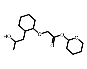 CC(O)CC1CCCCC1OCC(=O)OC1CCCCO1